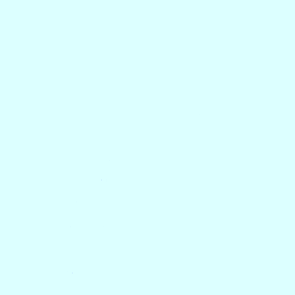 Cc1ccccc1[S+](c1ccc(Sc2ccc([I+]c3ccccc3)cc2)cc1)c1ccccc1C.[O-][Cl+3]([O-])([O-])[O-].[O-][Cl+3]([O-])([O-])[O-]